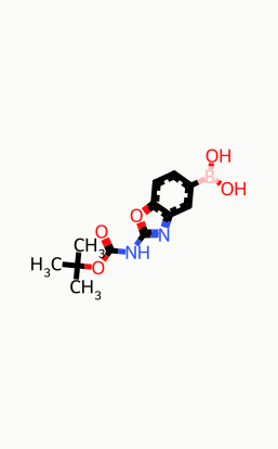 CC(C)(C)OC(=O)Nc1nc2cc(B(O)O)ccc2o1